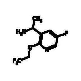 CC(N)c1cc(F)cnc1OCC(F)(F)F